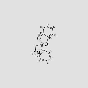 N#CCC1(c2ccccc2)Oc2ccccc2O1